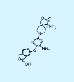 C[C@@H]1OCC2(CCN(c3cnc(Sc4ccc5c(c4)B(O)OC5)c(N)n3)CC2)[C@@H]1N